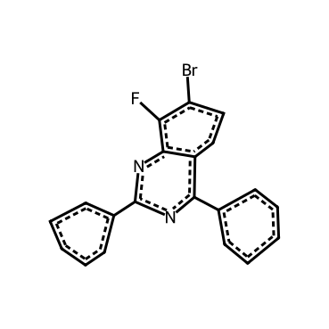 Fc1c(Br)ccc2c(-c3ccccc3)nc(-c3ccccc3)nc12